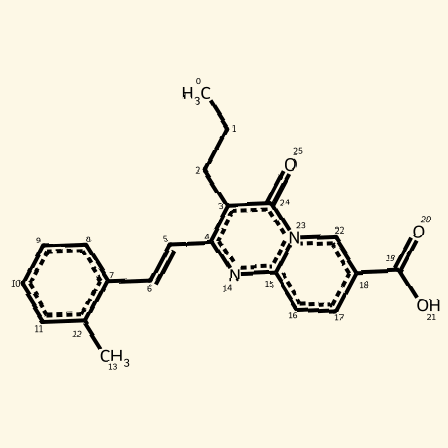 CCCc1c(C=Cc2ccccc2C)nc2ccc(C(=O)O)cn2c1=O